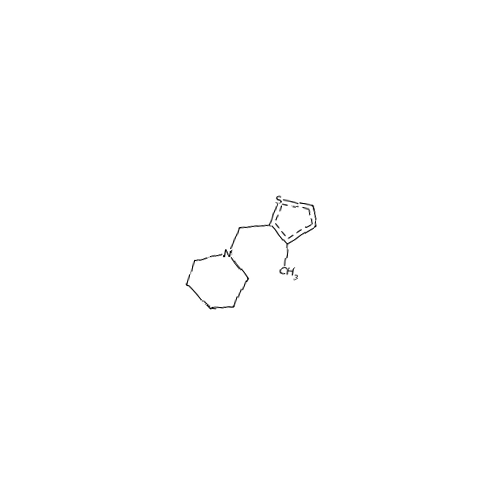 Cc1ccsc1CN1CCCCC1